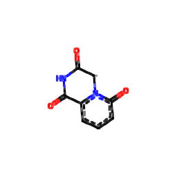 O=C1[CH]n2c(cccc2=O)C(=O)N1